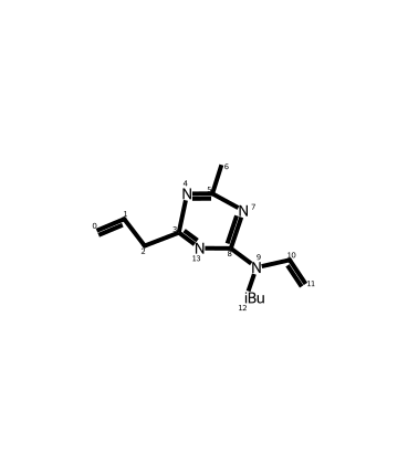 C=CCc1nc(C)nc(N(C=C)C(C)CC)n1